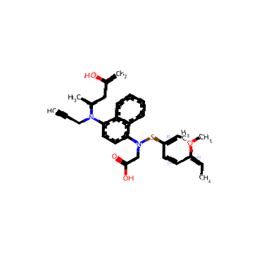 C#CCN(c1ccc(N(CC(=O)O)SC(/C=C\C(=C/C)OC)=C/C)c2ccccc12)C(C)CC(=C)O